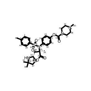 Cc1ccc(S(=O)(=O)N(c2ccc(OC(=O)N3CCN(C)CC3)cc2)[C@@](C)(C(=O)O)C(=O)[C@H]2NC(C)(C)CS2)cc1